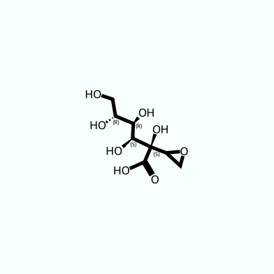 O=C(O)[C@@](O)(C1CO1)[C@@H](O)[C@H](O)[C@H](O)CO